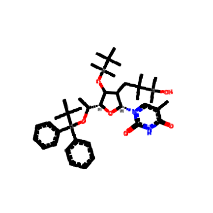 Cc1cn([C@@H]2O[C@H](C(C)O[Si](c3ccccc3)(c3ccccc3)C(C)(C)C)C(O[Si](C)(C)C(C)(C)C)C2CC(C)(C)[Si](C)(C)O)c(=O)[nH]c1=O